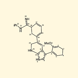 COC1=CCCC=C1c1c[nH]c2c1C=C(C1=CC=CC(C(=N)NC(C)C)C1)CN2